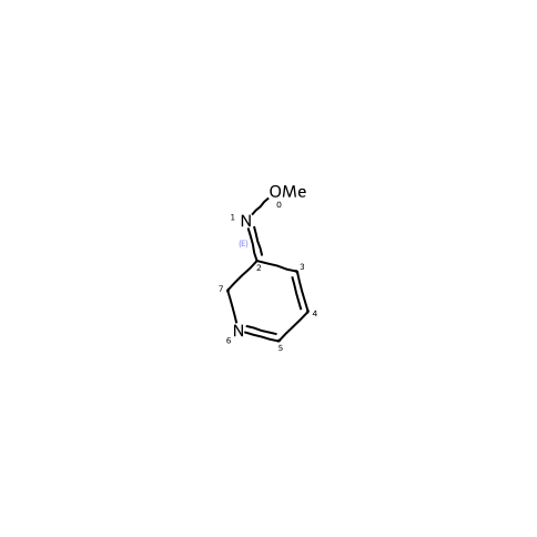 CO/N=C1\C=CC=NC1